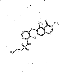 CCCS(=O)(=O)Nc1nccc(Oc2ccc3ncn(C)c(=O)c3c2C)c1Cl